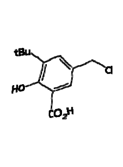 CC(C)(C)c1cc(CCl)cc(C(=O)O)c1O